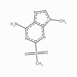 Cn1cnc2c(N)nc(S(C)(=O)=O)nc21